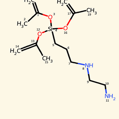 C=C(C)O[Si](CCCNCCN)(OC(=C)C)OC(=C)C